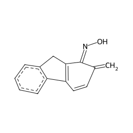 C=C1C=CC2=C(Cc3ccccc32)C1=NO